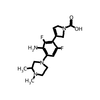 CC1CN(c2cc(F)c(C3=CCN(C(=O)O)C3)c(F)c2N)CCN1C